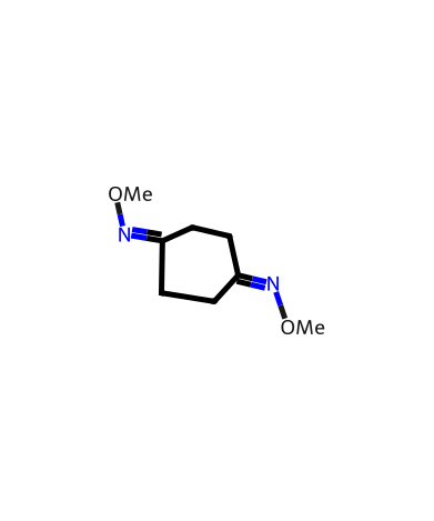 CON=C1CCC(=NOC)CC1